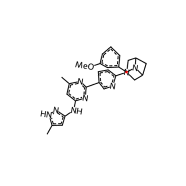 COc1cccc(CN2C3CC2CN(c2ccc(-c4nc(C)cc(Nc5cc(C)[nH]n5)n4)cn2)C3)c1